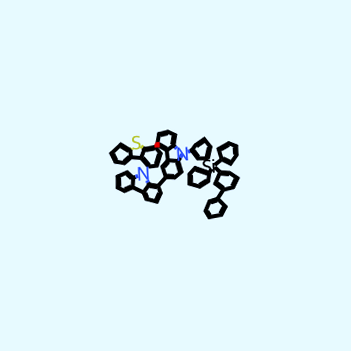 c1ccc(-c2cccc([Si](c3ccccc3)(c3ccccc3)c3cccc(-n4c5ccccc5c5cc(-c6cccc7c8ccccc8n(-c8cccc9sc%10ccccc%10c89)c67)ccc54)c3)c2)cc1